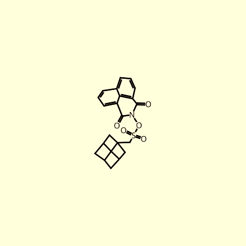 O=C1c2cccc3cccc(c23)C(=O)N1OS(=O)(=O)CC12CC3CC4CC(C1)C432